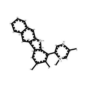 Cc1c[n+](C)c(-c2c(C)c(C)cc3c2oc2cc4ccccc4cc23)cn1